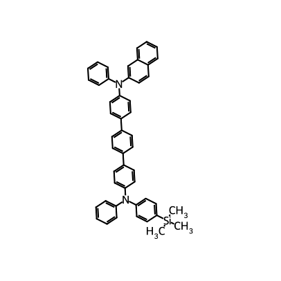 C[Si](C)(C)c1ccc(N(c2ccccc2)c2ccc(-c3ccc(-c4ccc(N(c5ccccc5)c5ccc6ccccc6c5)cc4)cc3)cc2)cc1